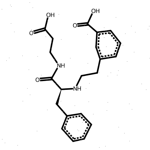 O=C(O)CCNC(=O)[C@H](Cc1ccccc1)NCCc1cccc(C(=O)O)c1